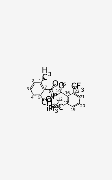 Cc1cccc(C)c1C(=O)P(=O)(CC(C)C)C(=O)c1c(C(F)(F)F)cccc1C(F)(F)F